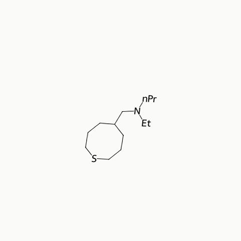 CCCN(CC)CC1CCCSCCC1